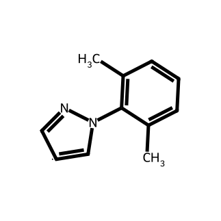 Cc1cccc(C)c1-n1c[c]cn1